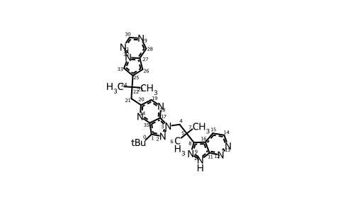 CC(C)(C)c1nn(CC(C)(C)c2n[nH]c3nnccc23)c2ncc(CC(C)(C)c3cc4cncnn4c3)nc12